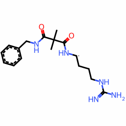 CC(C)(C(=O)N[CH]CCCNC(=N)N)C(=O)NCc1ccccc1